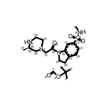 CC(C)(C)OC=O.CNS(=O)(=O)c1ccc2c(c1)N(C(=O)CN1CCN[C@H](C)C1)CC2